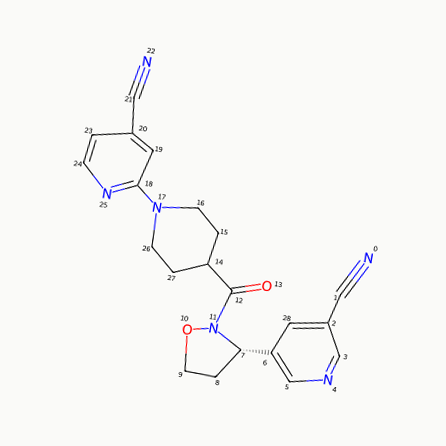 N#Cc1cncc([C@@H]2CCON2C(=O)C2CCN(c3cc(C#N)ccn3)CC2)c1